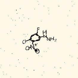 NNc1cc([N+](=O)[O-])c(Cl)cc1F